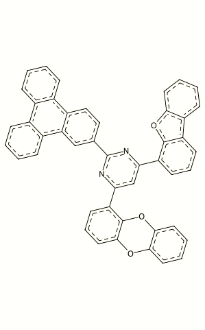 c1ccc2c(c1)Oc1cccc(-c3cc(-c4cccc5c4oc4ccccc45)nc(-c4ccc5c6ccccc6c6ccccc6c5c4)n3)c1O2